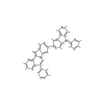 c1ccc(-c2cn3c4cc(-c5ccc6c(c5)c5ccccc5n6-c5ccccc5)ccc4nc3c3ccccc23)cc1